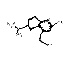 Cc1cc(CC(C)C)c2c(n1)CCC(N(C)N)C2